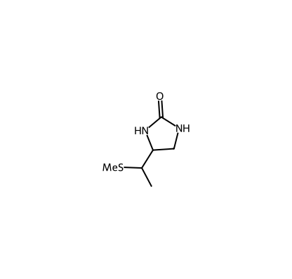 CSC(C)C1CNC(=O)N1